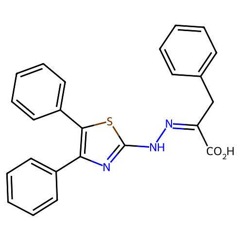 O=C(O)C(Cc1ccccc1)=NNc1nc(-c2ccccc2)c(-c2ccccc2)s1